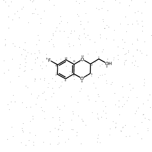 OCC1COc2ccc(F)cc2O1